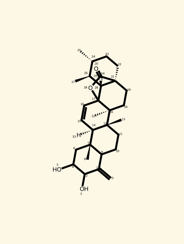 C=C1C(O)C(O)C[C@@]2(C)C1CC[C@]1(C)[C@@H]2C=CC23OC(=O)[C@@]4(CC[C@@H](C)[C@H](C)[C@@H]24)CC[C@]31C